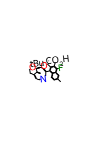 C=C1/C2=C\C=N/C/C(c3c([C@H](OC(C)(C)C)C(=O)O)c(C)c(F)c4cc(C)ccc34)=C\C=C/1OCC2